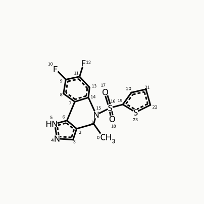 CC1c2cn[nH]c2-c2cc(F)c(F)cc2N1S(=O)(=O)c1cccs1